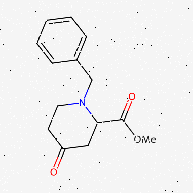 COC(=O)C1CC(=O)CCN1Cc1ccccc1